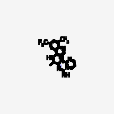 CC(Nc1ncnc2c(C(F)(F)F)cc(C(F)(F)F)cc12)/C(=N/C=N)Nc1ncccn1